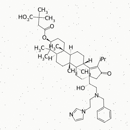 CC(C)C1=C2[C@H]3CC[C@@H]4[C@@]5(C)CC[C@H](OC(=O)CC(C)(C)C(=O)O)C(C)(C)[C@@H]5CC[C@@]4(C)[C@]3(C)CC[C@@]2([C@@H](O)CN(CCn2ccnc2)Cc2ccccc2)CC1=O